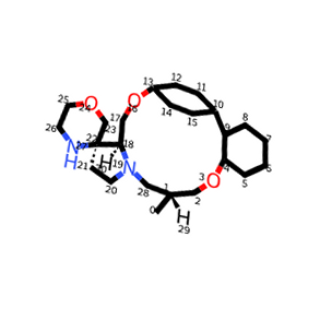 C[C@H]1COC2CCCCC2C2CCC(CC2)OC[C@H]2N(CC[C@]23COCCN3)C1